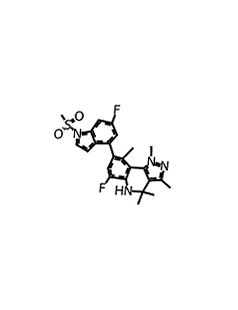 Cc1nn(C)c2c1C(C)(C)Nc1c(F)cc(-c3cc(F)cc4c3ccn4S(C)(=O)=O)c(C)c1-2